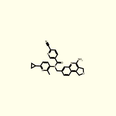 Cc1nc(C2CC2)ccc1N(Cc1ccc2c3c(c(N)nc2c1)COC3)C(=O)c1ccc(C#N)nc1